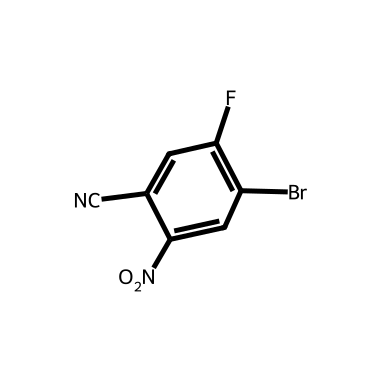 N#Cc1cc(F)c(Br)cc1[N+](=O)[O-]